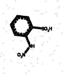 O=[N+]([O-])Nc1ccccc1S(=O)(=O)O